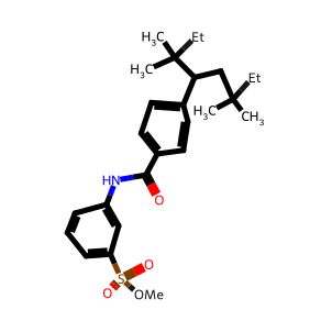 CCC(C)(C)CC(c1ccc(C(=O)Nc2cccc(S(=O)(=O)OC)c2)cc1)C(C)(C)CC